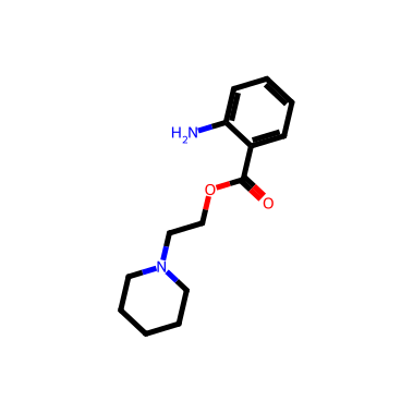 Nc1ccccc1C(=O)OCCN1CCCCC1